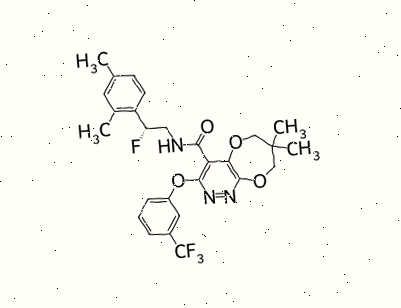 Cc1ccc([C@@H](F)CNC(=O)c2c(Oc3cccc(C(F)(F)F)c3)nnc3c2OCC(C)(C)CO3)c(C)c1